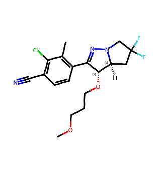 COCCCO[C@@H]1C(c2ccc(C#N)c(Cl)c2C)=NN2CC(F)(F)C[C@@H]12